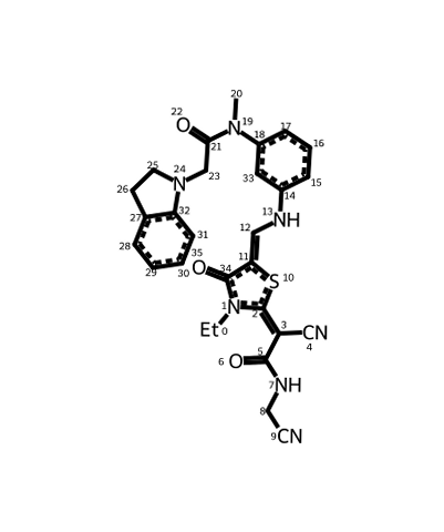 CCn1c(=C(C#N)C(=O)NCC#N)sc(=CNc2cccc(N(C)C(=O)CN3CCc4ccccc43)c2)c1=O